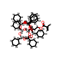 C=C(C)C(=O)OCCC[Si]12O[Si]3(C4CCCCC4)O[SiH](C4CCCCC4)O[Si](C4CCCCC4)(O1)O[Si]1(C4CCCCC4)O[SiH](C4CCCCC4)O[Si](C4CCCCC4)(O3)O[Si](C3CCCCC3)(O2)O1